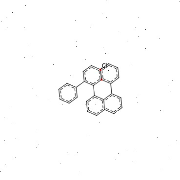 Clc1ccc(-c2ccccc2)c(-c2cccc3cccc(-c4ccccc4)c23)c1